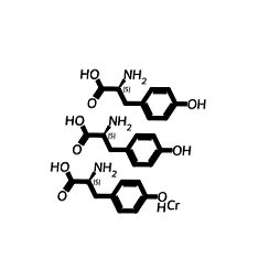 N[C@@H](Cc1ccc(O)cc1)C(=O)O.N[C@@H](Cc1ccc(O)cc1)C(=O)O.N[C@@H](Cc1ccc(O)cc1)C(=O)O.[Cr]